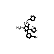 N#Cc1cccc(-c2nc(N)c3nn(Cc4ccccn4)cc3c2-c2ccncn2)c1